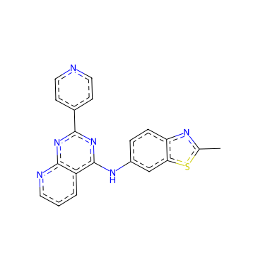 Cc1nc2ccc(Nc3nc(-c4ccncc4)nc4ncccc34)cc2s1